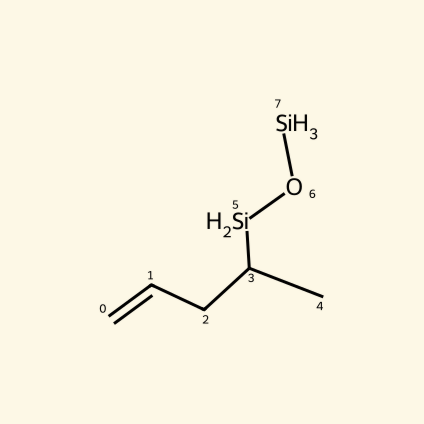 C=CCC(C)[SiH2]O[SiH3]